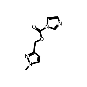 Cn1ccc(COC(=O)n2ccnc2)n1